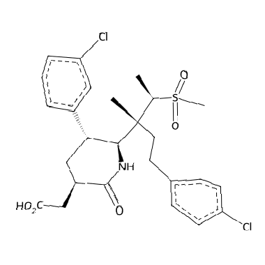 C[C@H]([C@](C)(CCc1ccc(Cl)cc1)[C@H]1NC(=O)[C@@H](CC(=O)O)C[C@@H]1c1cccc(Cl)c1)S(C)(=O)=O